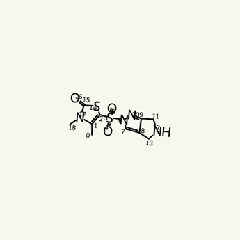 Cc1c(S(=O)(=O)n2cc3c(n2)CNC3)sc(=O)n1C